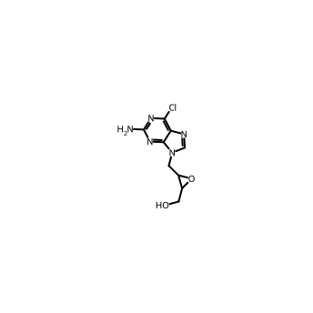 Nc1nc(Cl)c2ncn(CC3OC3CO)c2n1